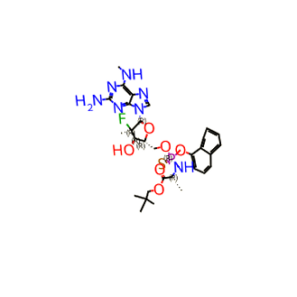 CNc1nc(N)nc2c1ncn2[C@@H]1O[C@H](CO[P@](=S)(N[C@H](C)C(=O)OCC(C)(C)C)Oc2cccc3ccccc23)[C@@H](O)[C@@]1(C)F